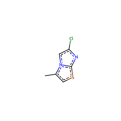 Cc1csc2nc(Cl)cn12